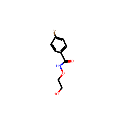 O=C(NOCCO)c1ccc(Br)cc1